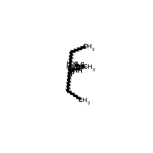 CCCCCCCC/C=C\CCCCCCCCOCC(COCCCCCCCC/C=C\CCCCCCCC)OC(=O)NCCN(CC(C)C)CC(C)C